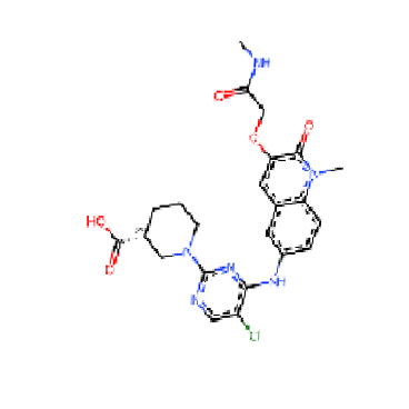 CNC(=O)COc1cc2cc(Nc3nc(N4CCC[C@@H](C(=O)O)C4)ncc3Cl)ccc2n(C)c1=O